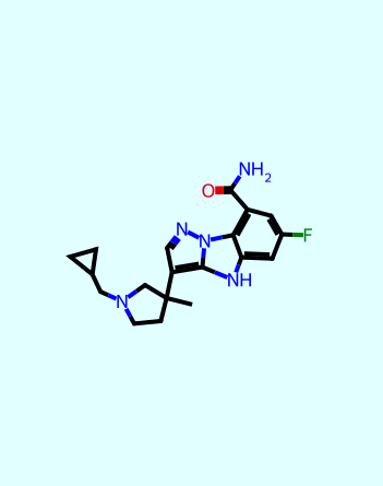 CC1(c2cnn3c2[nH]c2cc(F)cc(C(N)=O)c23)CCN(CC2CC2)C1